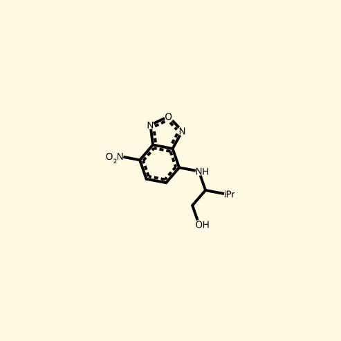 CC(C)C(CO)Nc1ccc([N+](=O)[O-])c2nonc12